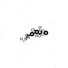 Nc1nc(-c2ccc(-c3cc4c(O)c(Oc5ccccc5)c(=O)[nH]c4cc3Cl)cc2)cs1